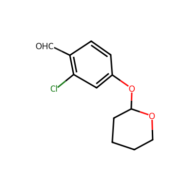 O=Cc1ccc(OC2CCCCO2)cc1Cl